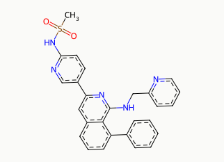 CS(=O)(=O)Nc1ccc(-c2cc3cccc(-c4ccccc4)c3c(NCc3ccccn3)n2)cn1